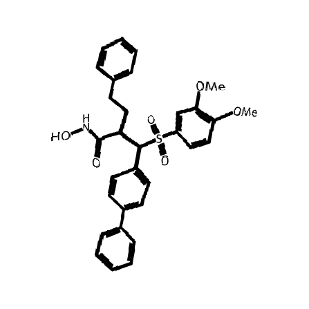 COc1ccc(S(=O)(=O)C(c2ccc(-c3ccccc3)cc2)C(CCc2ccccc2)C(=O)NO)cc1OC